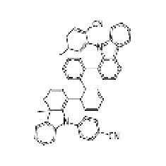 CC1C=C(n2c3ccccc3c3cccc(-c4ccccc4C4C=CC=CC4C4=C5N(c6ccc(C#N)cc6)c6ccccc6C5(C)CC=C4)c32)C(C#N)=CC1